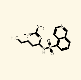 CCCCC(N=C(N)N)NS(=O)(=O)c1cccc2cnccc12